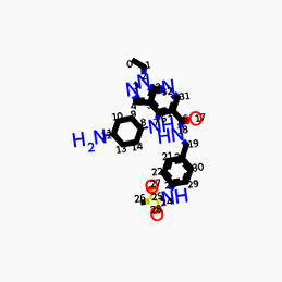 CCn1ncc2c(N[C@H]3CC[C@@H](N)CC3)c(C(=O)NCc3ccc(NS(C)(=O)=O)cc3)cnc21